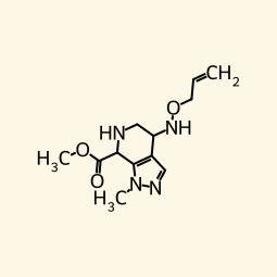 C=CCONC1CNC(C(=O)OC)c2c1cnn2C